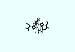 CCC(C(C)C)[C@H]1C[C@H](NC(=O)N(C)CCC(C)C(CC)[C@H]2C[C@H](NC(C)=O)C2)C1